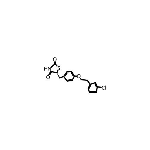 O=C1NC(=O)[C@H](Cc2ccc(OCCc3cccc(Cl)c3)cc2)S1